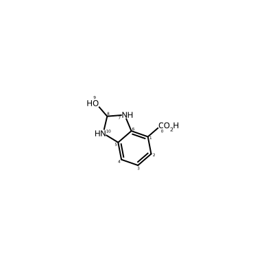 O=C(O)c1cccc2c1NC(O)N2